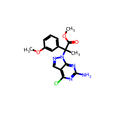 COC(=O)C(C)(c1cccc(OC)c1)n1ncc2c(Cl)nc(N)nc21